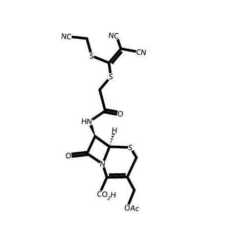 CC(=O)OCC1=C(C(=O)O)N2C(=O)[C@@H](NC(=O)CSC(SCC#N)=C(C#N)C#N)[C@H]2SC1